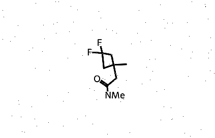 CNC(=O)CC1(C)CC(F)(F)C1